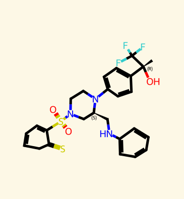 C[C@@](O)(c1ccc(N2CCN(S(=O)(=O)C3=CC=CCC3=S)C[C@@H]2CNc2ccccc2)cc1)C(F)(F)F